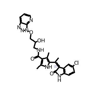 C/C(=C1/C(=O)Nc2ccc(Cl)cc21)c1[nH]c(C)c(C(=O)NCC(O)COn2nnc3cccnc32)c1C